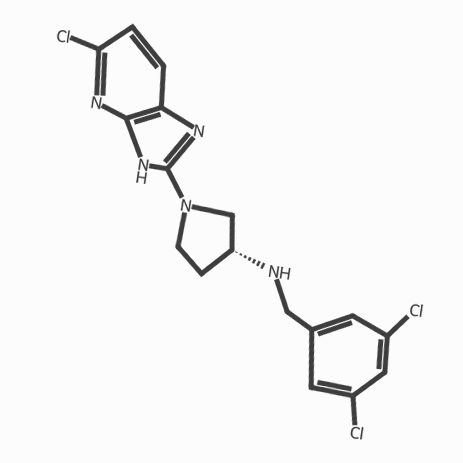 Clc1cc(Cl)cc(CN[C@@H]2CCN(c3nc4ccc(Cl)nc4[nH]3)C2)c1